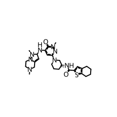 CN1CCN2C(=CC(Nc3cc(N4CCC[C@@H](NC(=O)c5cc6c(s5)CCCC6)C4)nn(C)c3=O)N2C)C1